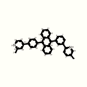 Cc1ccc(-c2cccc(-c3c4ccccc4c(-c4ccc(-c5ccnc(C)c5)cc4)c4ccccc34)c2)nc1